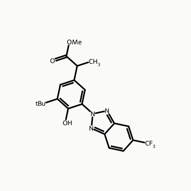 COC(=O)C(C)c1cc(-n2nc3ccc(C(F)(F)F)cc3n2)c(O)c(C(C)(C)C)c1